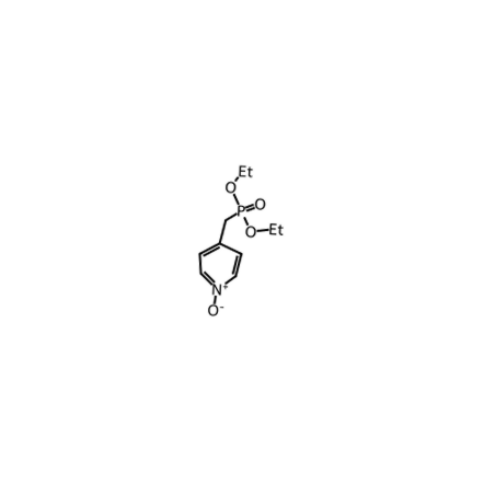 CCOP(=O)(Cc1cc[n+]([O-])cc1)OCC